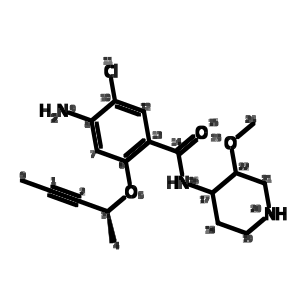 CC#C[C@H](C)Oc1cc(N)c(Cl)cc1C(=O)NC1CCNCC1OC